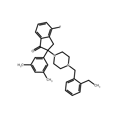 CCc1ccccc1CN1CCN(C2(c3cc(C)cc(C)c3)Cc3c(F)cccc3C2=O)CC1